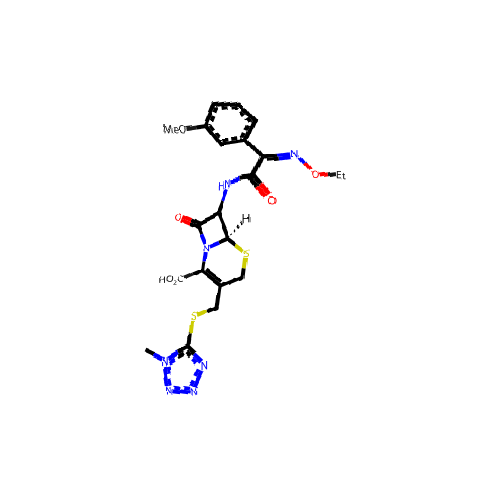 CCO/N=C(\C(=O)NC1C(=O)N2C(C(=O)O)=C(CSc3nnnn3C)CS[C@H]12)c1cccc(OC)c1